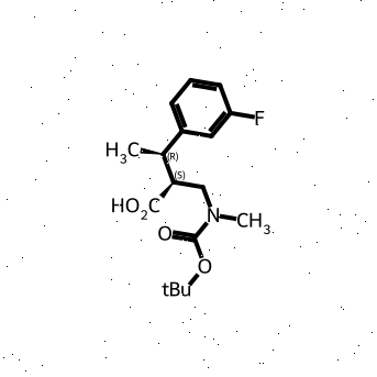 C[C@@H](c1cccc(F)c1)[C@@H](CN(C)C(=O)OC(C)(C)C)C(=O)O